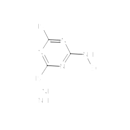 CCNc1nc(S)nc(S)n1.N.N